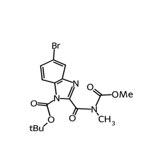 COC(=O)N(C)C(=O)c1nc2cc(Br)ccc2n1C(=O)OC(C)(C)C